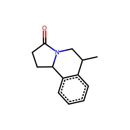 CC1CN2C(=O)CCC2c2ccccc21